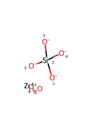 O.[O-][Si]([O-])([O-])[O-].[Zr+4]